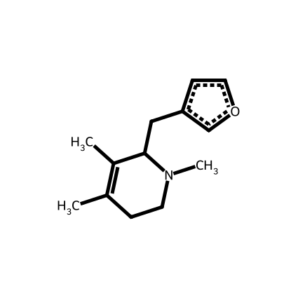 CC1=C(C)C(Cc2ccoc2)N(C)CC1